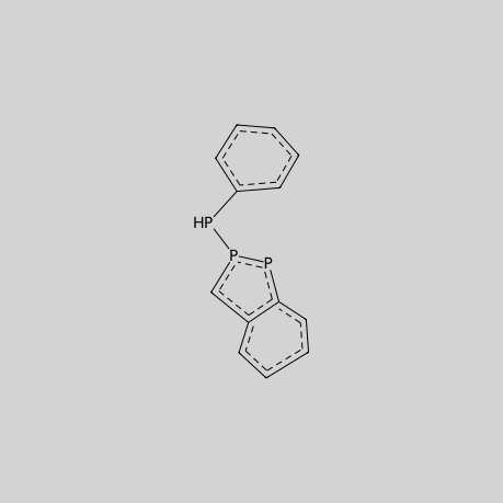 c1ccc(Pp2cc3ccccc3p2)cc1